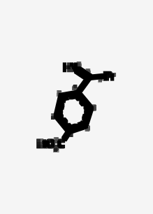 CCOC(=O)c1ccc(C(=N)C(C)C)cc1